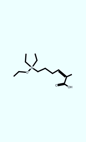 CCO[Si]([CH]CCC=C(C)C(=O)O)(CC)CC